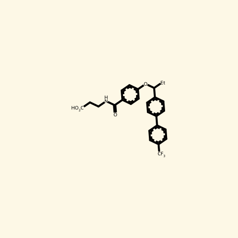 CCC(Oc1ccc(C(=O)NCCC(=O)O)cc1)c1ccc(-c2ccc(C(F)(F)F)cc2)cc1